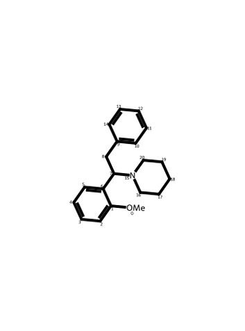 COc1ccccc1C(Cc1ccccc1)N1CCCCC1